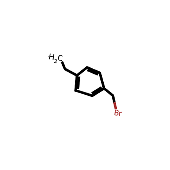 [CH2]Cc1ccc(CBr)cc1